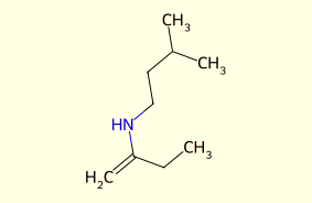 C=C(CC)NCCC(C)C